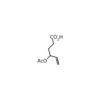 C=CC(CCC(=O)O)OC(C)=O